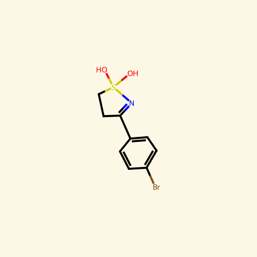 OS1(O)CCC(c2ccc(Br)cc2)=N1